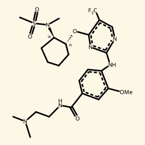 COc1cc(C(=O)NCCN(C)C)ccc1Nc1ncc(C(F)(F)F)c(O[C@@H]2CCCC[C@H]2N(C)S(C)(=O)=O)n1